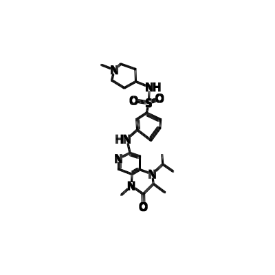 CC(C)N1c2cc(Nc3cccc(S(=O)(=O)NC4CCN(C)CC4)c3)ncc2N(C)C(=O)C1C